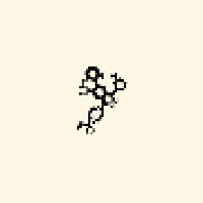 C=CC(=O)N1CCN(c2nnc(C3CCCC3)c3cc(-c4c(O)cccc4F)c(Cl)cc23)CC1